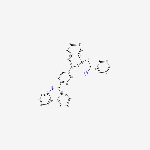 NC(Cc1cc(-c2ccc(-c3nc4ccccc4c4ccccc34)cc2)cc2ccccc12)c1ccccc1